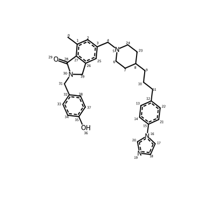 Cc1cc(CN2CCC(CCCc3ccc(-n4ccnc4)cc3)CC2)cc2c1C(=O)N(Cc1ccc(O)cc1)C2